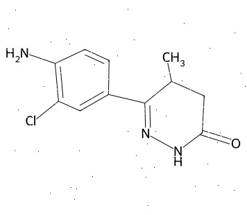 CC1CC(=O)NN=C1c1ccc(N)c(Cl)c1